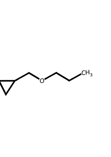 CCCOC[C]1CC1